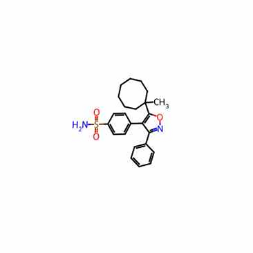 CC1(c2onc(-c3ccccc3)c2-c2ccc(S(N)(=O)=O)cc2)CCCCCCC1